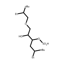 CCCCC(CC)COCC(O)C(CC(CC)CCCC)OS(=O)(=O)O